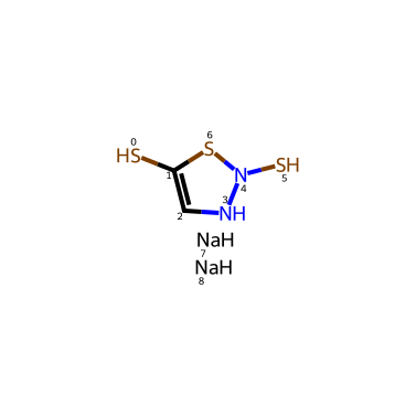 SC1=CNN(S)S1.[NaH].[NaH]